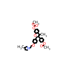 COC(=O)Oc1ccc2c(c1)OC(c1ccc(OCCN3CC[C@@H](C)C3)cc1)C(c1ccc(OC(C)=O)cc1)=C2C